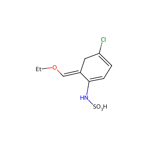 CCOC=C1CC(Cl)=CC=C1NS(=O)(=O)O